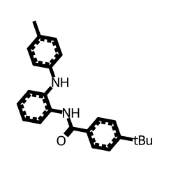 Cc1ccc(Nc2ccccc2NC(=O)c2ccc(C(C)(C)C)cc2)cc1